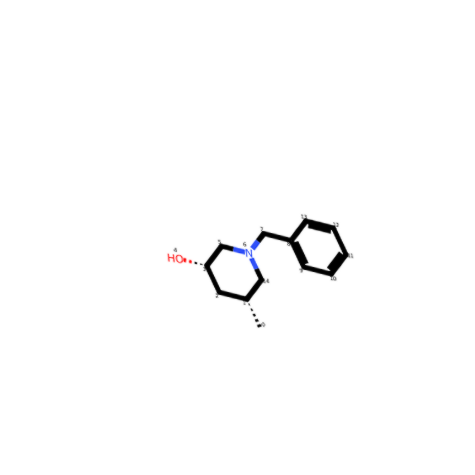 C[C@@H]1C[C@H](O)CN(Cc2ccccc2)C1